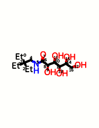 CCC(CC)(CC)CNC(=O)C(O)C(O)C(O)C(O)CO